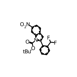 CC(C)(C)OC(=O)n1c(-c2ccccc2C(F)F)cc2ccc([N+](=O)[O-])cc21